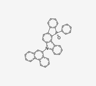 O=P1(c2ccccc2)c2ccccc2-c2ccc3c(c21)c1ccccc1n3-c1cc2ccccc2c2ccccc12